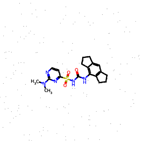 CN(C)c1nccc(S(=O)(=O)NC(=O)Nc2c3c(cc4c2CCC4)CCC3)n1